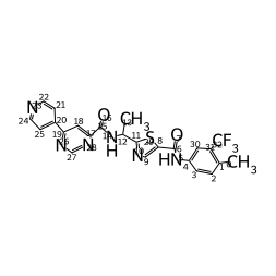 Cc1ccc(NC(=O)c2cnc(C(C)NC(=O)c3cc(-c4ccncc4)ncn3)s2)cc1C(F)(F)F